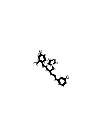 Clc1cccc(CCCC(CCCc2ccc(Cl)cc2Cl)Cn2ccnc2)c1